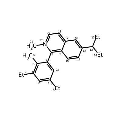 CCc1cc(CC)c(C)c(-c2c3ccc(C(CC)CC)cc3cc[n+]2C)c1